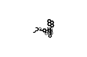 CCCCC(CC)OCc1ccc(-c2nc(OC3CCCC3)nc(-c3ccc4ccc5cccc6ccc3c4c56)n2)c(O)c1